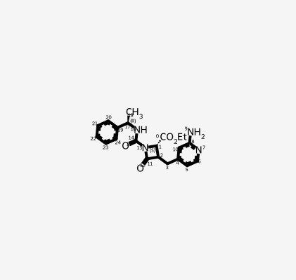 CCOC(=O)[C@@H]1C(Cc2ccnc(N)c2)C(=O)N1C(=O)N[C@H](C)c1ccccc1